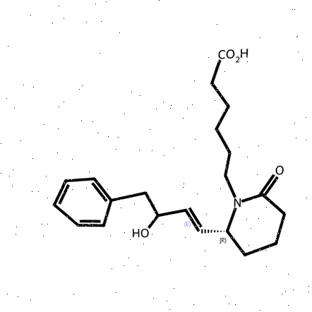 O=C(O)CCCCCN1C(=O)CCC[C@@H]1/C=C/C(O)Cc1ccccc1